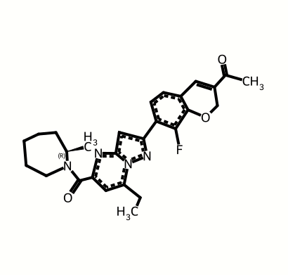 CCc1cc(C(=O)N2CCCCC[C@H]2C)nc2cc(-c3ccc4c(c3F)OCC(C(C)=O)=C4)nn12